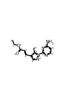 CCOC(=O)C=Cc1cnn(-c2nccc(N)n2)c1C